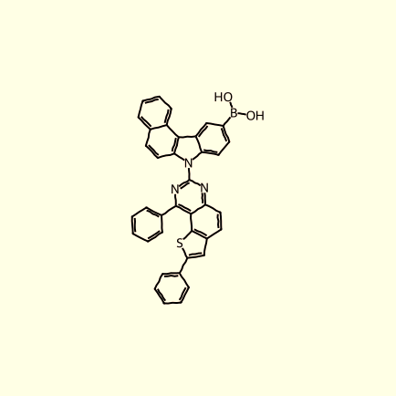 OB(O)c1ccc2c(c1)c1c3ccccc3ccc1n2-c1nc(-c2ccccc2)c2c(ccc3cc(-c4ccccc4)sc32)n1